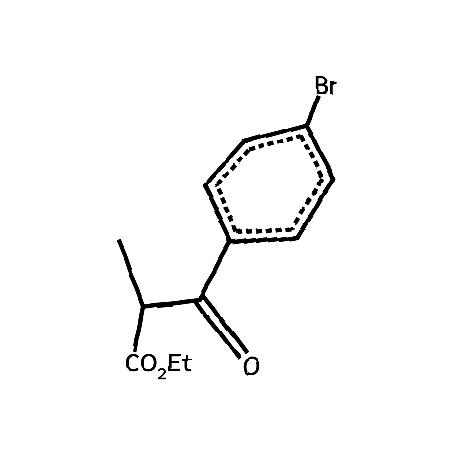 CCOC(=O)C(C)C(=O)c1ccc(Br)cc1